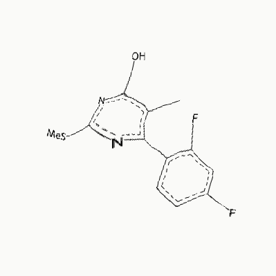 CSc1nc(O)c(C)c(-c2ccc(F)cc2F)n1